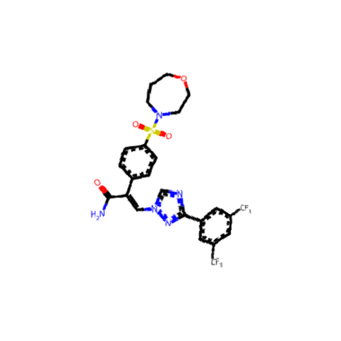 NC(=O)/C(=C/n1cnc(-c2cc(C(F)(F)F)cc(C(F)(F)F)c2)n1)c1ccc(S(=O)(=O)N2CCCOCC2)cc1